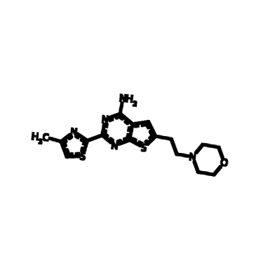 Cc1csc(-c2nc(N)c3cc(CCN4CCOCC4)sc3n2)n1